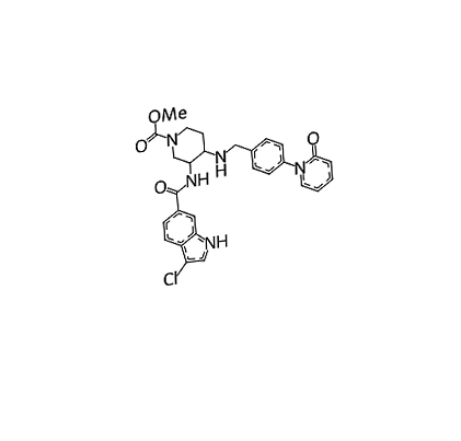 COC(=O)N1CCC(NCc2ccc(-n3ccccc3=O)cc2)C(NC(=O)c2ccc3c(Cl)c[nH]c3c2)C1